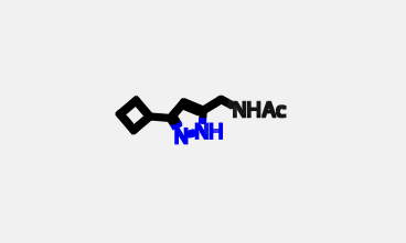 CC(=O)NCc1cc(C2CCC2)n[nH]1